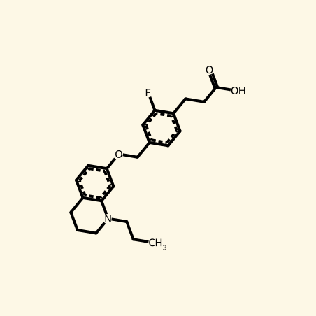 CCCN1CCCc2ccc(OCc3ccc(CCC(=O)O)c(F)c3)cc21